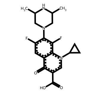 CC1CN(c2c(F)cc3c(=O)c(C(=O)O)cn(C4CC4)c3c2F)CC(C)N1